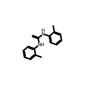 C=C(Nc1ccccc1C)Nc1ccccc1C